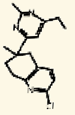 CCc1cc(C2(C)CCc3nc(Cl)ccc3C2)nc(C)n1